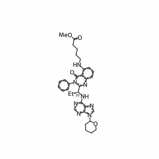 CC[C@H](Nc1ncnc2c1ncn2C1CCCCO1)c1nc2cccc(NCCCCC(=O)OC)c2c(=O)n1-c1ccccc1